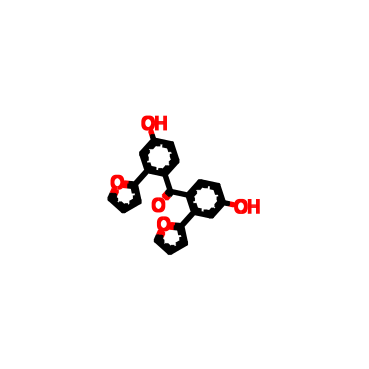 O=C(c1ccc(O)cc1-c1ccco1)c1ccc(O)cc1-c1ccco1